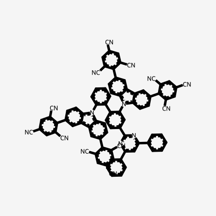 N#Cc1cc(C#N)c(-c2ccc3c(c2)c2cc(-c4c(C#N)cc(C#N)cc4C#N)ccc2n3-c2ccccc2-c2ccc(-c3nc(-c4ccccc4)cc(-c4ccccc4)n3)cc2-n2c3ccc(-c4c(C#N)cc(C#N)cc4C#N)cc3c3cc(-c4c(C#N)cc(C#N)cc4C#N)ccc32)c(C#N)c1